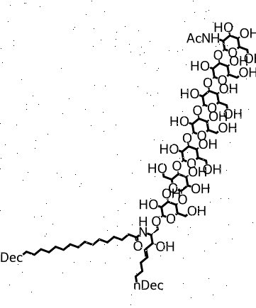 CCCCCCCCCCCCC/C=C/[C@@H](O)[C@H](CO[C@@H]1OC(CO)[C@@H](O[C@@H]2OC(CO)[C@H](O[C@@H]3OC(CO)[C@H](O)[C@H](O[C@H]4OC(CO)[C@H](O)[C@H](O[C@H]5OC(CO)[C@H](O)[C@H](O[C@H]6OC(CO)[C@H](O)[C@H](O[C@@H]7OC(CO)[C@H](O)[C@H](O)C7NC(C)=O)C6O)C5O)C4O)C3O)[C@H](O)C2O)[C@H](O)C1O)NC(=O)CCCCCCCCCCCCCCCCCCCCCCCCC